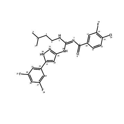 CC(C)CCN/C(=N/C(=O)c1ccc(Cl)c(F)c1)Nc1cc(-c2cc(F)cc(F)c2)[nH]n1